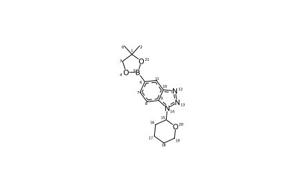 CC1(C)COB(c2ccc3c(c2)nnn3C2CCCCO2)O1